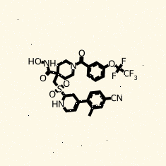 Cc1cc(C#N)ccc1C1=CCNC(S(=O)(=O)CC2(C(=O)NO)CCN(C(=O)c3cccc(OC(F)(F)C(F)(F)F)c3)CC2)C1